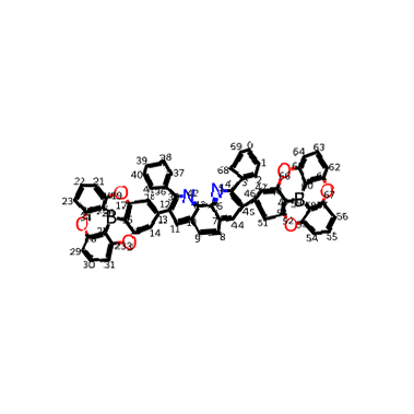 c1ccc(-c2nc3c(ccc4cc(-c5cc6c7c(c5)Oc5cccc8c5B7c5c(cccc5O6)O8)c(-c5ccccc5)nc43)cc2-c2cc3c4c(c2)Oc2cccc5c2B4c2c(cccc2O3)O5)cc1